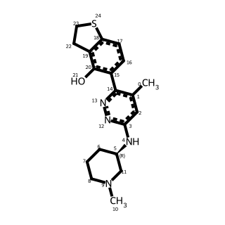 Cc1cc(N[C@@H]2CCCN(C)C2)nnc1-c1ccc2c(c1O)CCS2